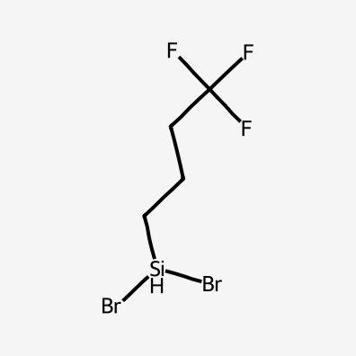 FC(F)(F)CCC[SiH](Br)Br